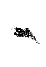 C[C@H](NP(=O)(OC[C@H]1O[C@@](C#N)(c2ccc3c(N)ncnn23)[C@@H]2OC(C)(C)O[C@@H]21)Oc1ccc(C(C)(C)C)cc1)C(=O)OC1CCC1